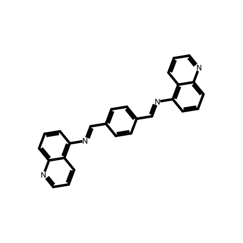 C(=N\c1cccc2ncccc12)/c1ccc(/C=N/c2cccc3ncccc23)cc1